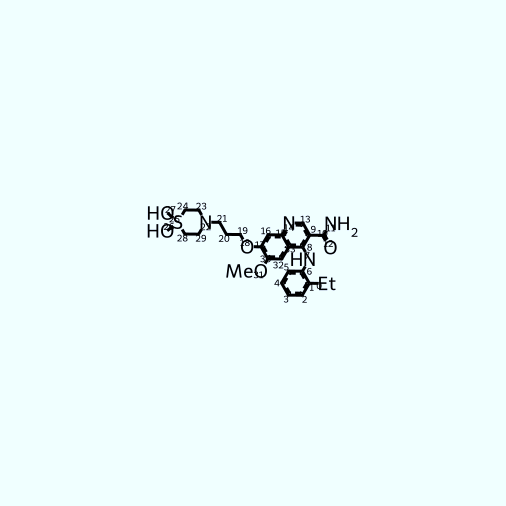 CCc1ccccc1Nc1c(C(N)=O)cnc2cc(OCCCN3CCS(O)(O)CC3)c(OC)cc12